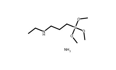 CCNCCC[Si](OC)(OC)OC.N